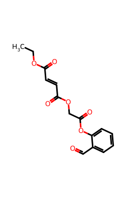 CCOC(=O)C=CC(=O)OCC(=O)Oc1ccccc1C=O